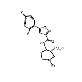 CCN1CCC(NC(=O)c2cc(-c3ccc(F)cc3F)on2)C(C(=O)O)C1